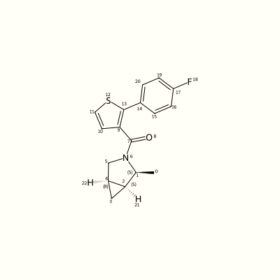 C[C@H]1[C@H]2C[C@H]2CN1C(=O)c1ccsc1-c1ccc(F)cc1